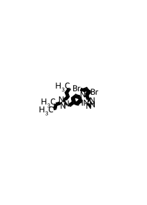 CCCCc1nc(C(C)CC)nn1Cc1ccc(-n2c(Br)cc(Br)c2-c2nnn[nH]2)cc1